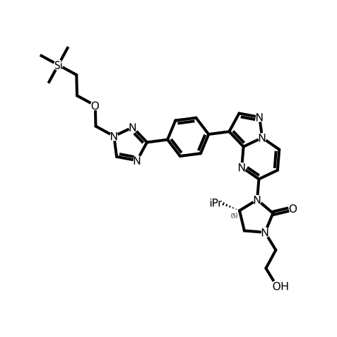 CC(C)[C@H]1CN(CCO)C(=O)N1c1ccn2ncc(-c3ccc(-c4ncn(COCC[Si](C)(C)C)n4)cc3)c2n1